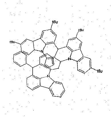 CC(C)(C)C1=CC2c3cc(C(C)(C)C)cc4c3N(C3=C5C4c4cc(C(C)(C)C)cc6c7cc(C(C)(C)C)ccc7n(c46)C5CC(n4c5ccccc5c5cccc(C(c6ccccc6)c6ccccc6)c54)=C3)C2C=C1